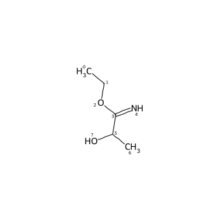 CCOC(=N)C(C)O